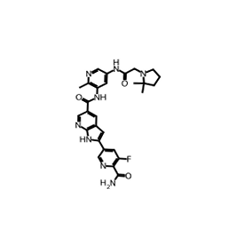 Cc1ncc(NC(=O)CN2CCCC2(C)C)cc1NC(=O)c1cnc2[nH]c(-c3cnc(C(N)=O)c(F)c3)cc2c1